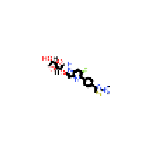 CN(C)c1nc(-c2ccc(-c3nc4cc(O[C@@H]5CO[C@H]6[C@@H]5OC[C@H]6O)[nH]c4cc3F)cc2)cs1